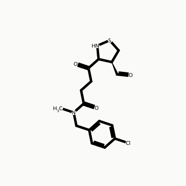 CN(Cc1ccc(Cl)cc1)C(=O)CCC(=O)C1NSC[C@H]1C=O